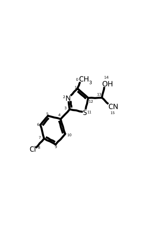 Cc1nc(-c2ccc(Cl)cc2)sc1C(O)C#N